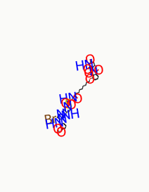 O=C(CCCCCCCCOc1cccc2c1C(=O)N(C1CCC(=O)NC1=O)C2=O)NCCS(=O)(=O)N1CCC(Nc2ncc(Br)c(Nc3cccc4c3OCO4)n2)CC1